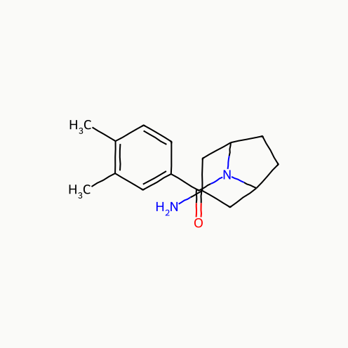 Cc1ccc(C(=O)N2C3CCC2CC(N)C3)cc1C